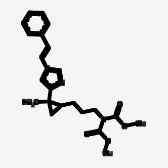 CC(C)(C)OC(=O)N(CCCC1CC1(C(=O)O)c1cn(/C=C/c2ccccc2)cn1)C(=O)OC(C)(C)C